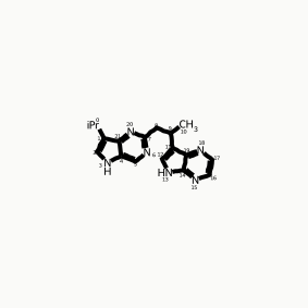 CC(C)c1c[nH]c2cnc(CC(C)c3c[nH]c4nccnc34)nc12